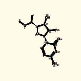 COC(C)[C@H]1O[C@@H](n2ccc(N)nc2=O)[C@H](F)[C@@H]1O